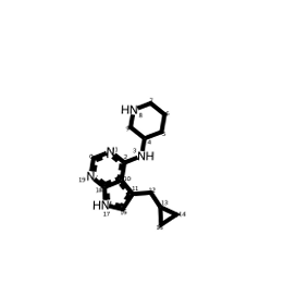 c1nc(NC2CCCNC2)c2c(CC3CC3)c[nH]c2n1